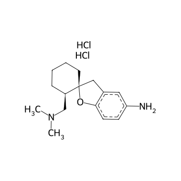 CN(C)C[C@H]1CCCC[C@]12Cc1cc(N)ccc1O2.Cl.Cl